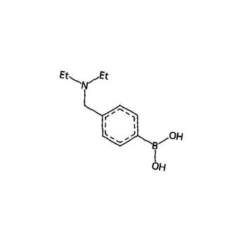 CCN(CC)Cc1ccc(B(O)O)cc1